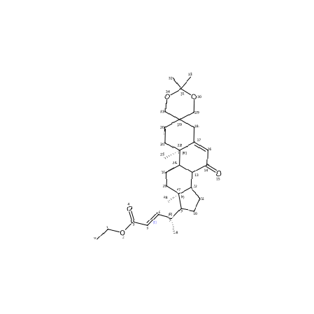 CCOC(=O)/C=C/[C@@H](C)C1CCC2C3C(=O)C=C4CC5(CC[C@]4(C)C3CC[C@@]21C)COC(C)(C)OC5